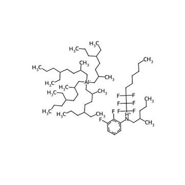 CCCC(CC)CCC(C)[CH2][Al-]([CH2]C(C)CCC(CC)CCC)([CH2]C(C)CCC(CC)CCC)[CH2]C(C)CCC(CC)CCC.CCCCCCC(F)(F)C(F)(F)C(F)(F)[NH+](CC(C)CCC)c1cccc(F)c1F